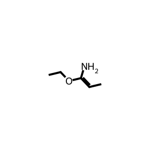 C/C=C(\N)OCC